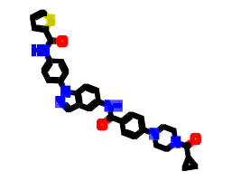 O=C(Nc1ccc2c(cnn2-c2ccc(NC(=O)c3cccs3)cc2)c1)c1ccc(N2CCN(C(=O)C3CC3)CC2)cc1